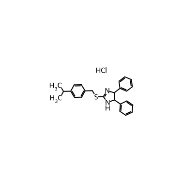 CC(C)c1ccc(CSC2=NC(c3ccccc3)C(c3ccccc3)N2)cc1.Cl